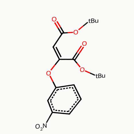 CC(C)(C)OC(=O)C=C(Oc1cccc([N+](=O)[O-])c1)C(=O)OC(C)(C)C